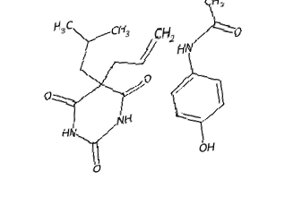 C=CCC1(CC(C)C)C(=O)NC(=O)NC1=O.CC(=O)Nc1ccc(O)cc1